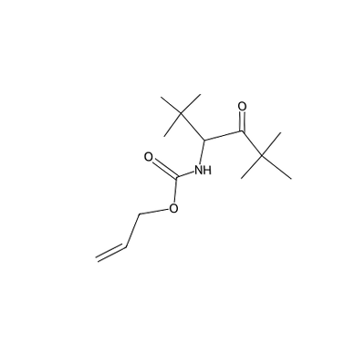 C=CCOC(=O)NC(C(=O)C(C)(C)C)C(C)(C)C